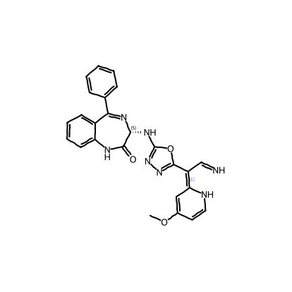 COC1=C/C(=C(/C=N)c2nnc(N[C@H]3N=C(c4ccccc4)c4ccccc4NC3=O)o2)NC=C1